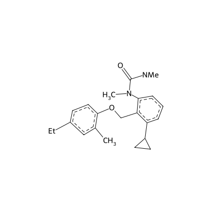 CCc1ccc(OCc2c(C3CC3)cccc2N(C)C(=O)NC)c(C)c1